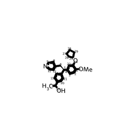 COc1ccc([C@H](Cc2ccncc2)c2ccc(C(C)O)cc2)cc1OC1CCCC1